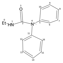 CCNC(=O)[N+](c1ccccc1)c1ccccc1